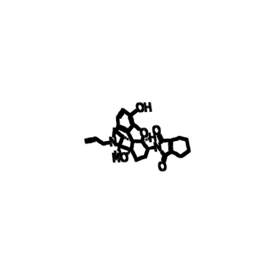 C=CCN1CC2[C@@H]1[C@]1(O)CC[C@H](N3C(=O)C4=C(CCCC4)C3=O)[C@@H]3Oc4c(O)ccc(C)c4[C@@]231